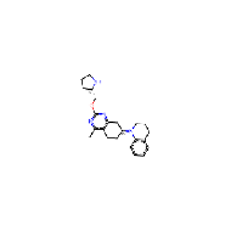 Cc1nc(OC[C@@H]2CCCN2)nc2c1CC[C@H](N1CCCc3ccccc31)C2